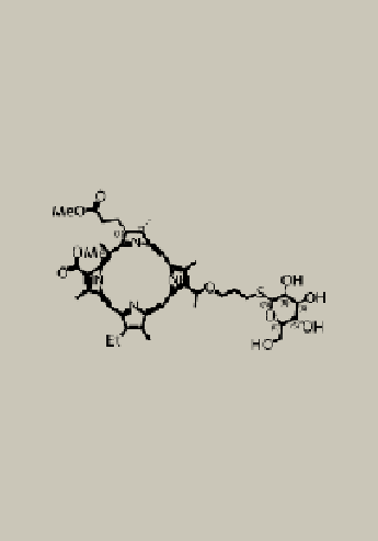 CCC1=C(C)c2cc3[nH]c(cc4nc(c(C)c5[nH]c(cc1n2)c(C)c5C(=O)OC)[C@@H](CCC(=O)OC)[C@@H]4C)c(C)c3C(C)OCCCS[C@@H]1O[C@H](CO)[C@@H](O)[C@H](O)[C@H]1O